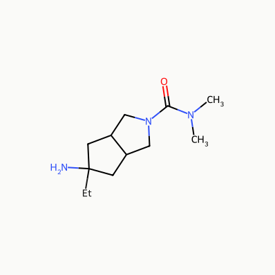 CCC1(N)CC2CN(C(=O)N(C)C)CC2C1